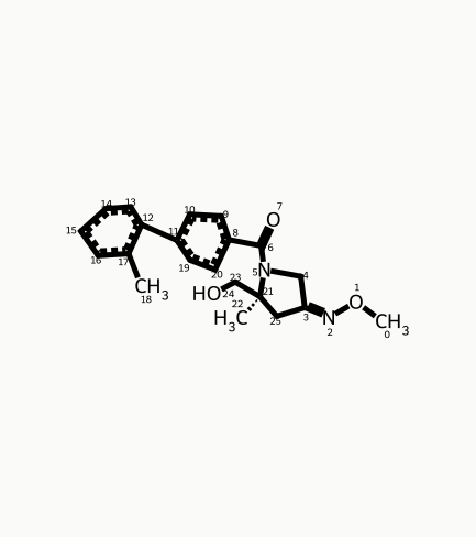 CO/N=C1\CN(C(=O)c2ccc(-c3ccccc3C)cc2)[C@](C)(CO)C1